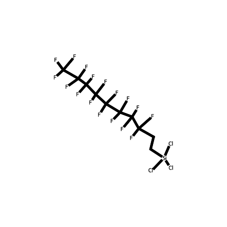 FC(F)(F)C(F)(F)C(F)(F)C(F)(F)C(F)(F)C(F)(F)C(F)(F)C(F)(F)CC[Si](Cl)(Cl)Cl